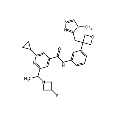 CC(c1cc(C(=O)Nc2cccc(C3(Cc4nncn4C)COC3)c2)nc(C2CC2)n1)N1CC(F)C1